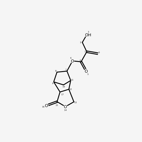 C=C(CO)C(=O)OC1CC2CC1C1COC(=O)C21